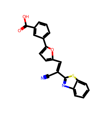 N#CC(=Cc1ccc(-c2cccc(C(=O)O)c2)o1)c1nc2ccccc2s1